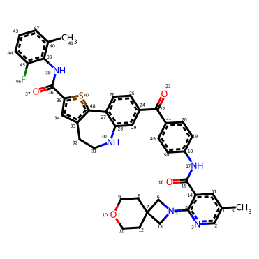 Cc1cnc(N2CC3(CCOCC3)C2)c(C(=O)Nc2ccc(C(=O)c3ccc4c(c3)NCCc3cc(C(=O)Nc5c(C)cccc5F)sc3-4)cc2)c1